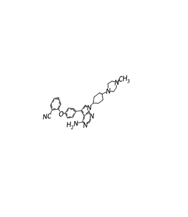 CN1CCN(C2CCC(n3cc(-c4ccc(Oc5ccccc5C#N)cc4)c4c(N)ncnc43)CC2)CC1